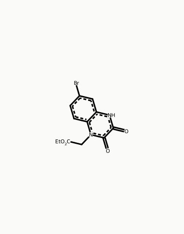 CCOC(=O)Cn1c(=O)c(=O)[nH]c2cc(Br)ccc21